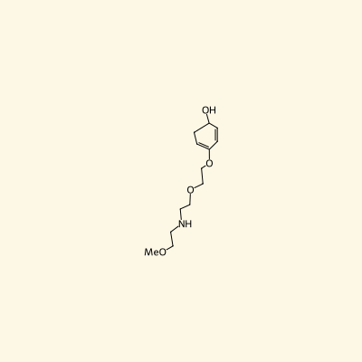 COCCNCCOCCOC1=CCC(O)C=C1